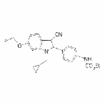 CCOC(=O)Nc1ccc(C2C(C#N)c3ccc(OCF)cc3N2CC2CC2)cc1